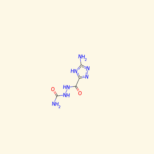 NC(=O)NNC(=O)c1nnc(N)[nH]1